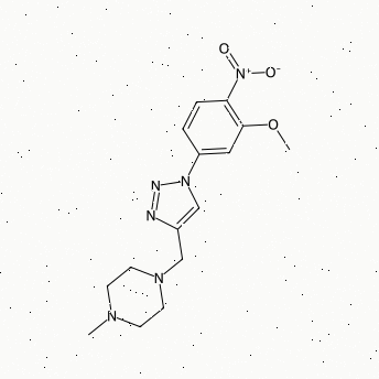 COc1cc(-n2cc(CN3CCN(C)CC3)nn2)ccc1[N+](=O)[O-]